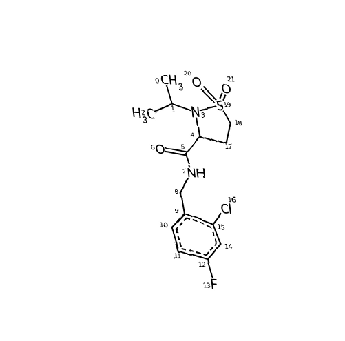 CC(C)N1C(C(=O)NCc2ccc(F)cc2Cl)CCS1(=O)=O